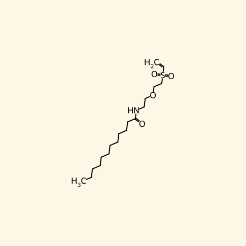 C=CS(=O)(=O)CCOCCNC(=O)CCCCCCCCCCC